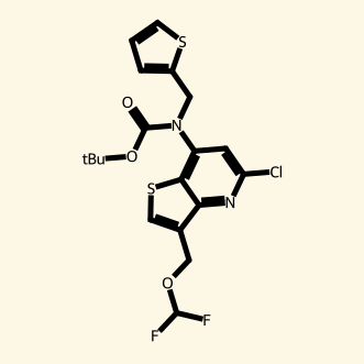 CC(C)(C)OC(=O)N(Cc1cccs1)c1cc(Cl)nc2c(COC(F)F)csc12